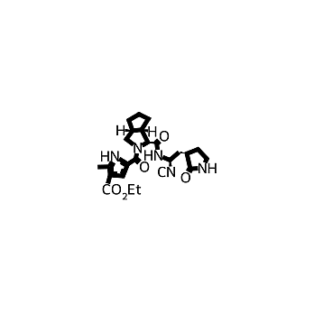 CCOC(=O)c1cc(C(=O)N2C[C@@H]3CCC[C@@H]3[C@H]2C(=O)N[C@H](C#N)C[C@@H]2CCNC2=O)[nH]c1C